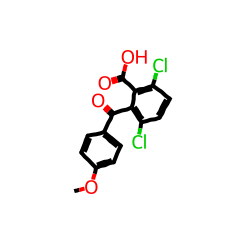 COc1ccc(C(=O)c2c(Cl)ccc(Cl)c2C(=O)O)cc1